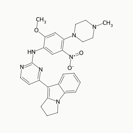 COc1cc(N2CCN(C)CC2)c([N+](=O)[O-])cc1Nc1nccc(-c2c3n(c4ccccc24)CCC3)n1